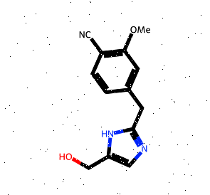 COc1cc(Cc2ncc(CO)[nH]2)ccc1C#N